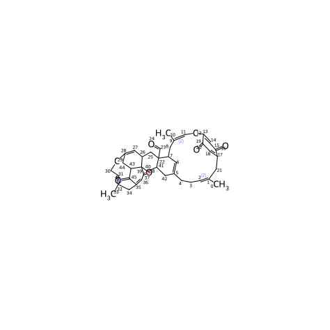 C/C1=C/CCC2=CC(C/C(C)=C\CC3=CC(=O)C(=CC3=O)C1)C1(C=O)CC3C=C4CC/C=C(\C)CC5=CC(=O)C3(CC1C2)C(C4)C5=O